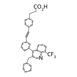 O=C(O)CCc1ccc(C#Cc2cccc(-c3c(Cc4ccccc4)cnc4c(C(F)(F)F)cccc34)c2)cc1